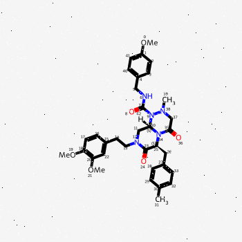 COc1ccc(CNC(=O)N2[C@H]3CN(CCc4ccc(OC)c(OC)c4)C(=O)[C@H](Cc4ccc(C)cc4)N3C(=O)CN2C)cc1